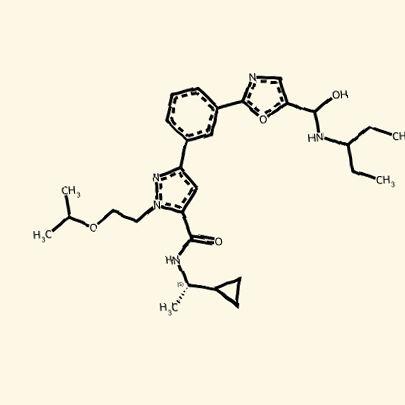 CCC(CC)NC(O)c1cnc(-c2cccc(-c3cc(C(=O)N[C@@H](C)C4CC4)n(CCOC(C)C)n3)c2)o1